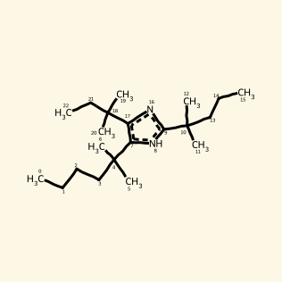 CCCCC(C)(C)c1[nH]c(C(C)(C)CCC)nc1C(C)(C)CC